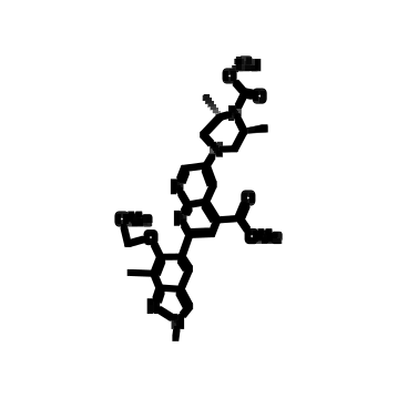 COCOc1c(-c2cc(C(=O)OC)c3cc(N4C[C@H](C)N(C(=O)OC(C)(C)C)[C@@H](C)C4)cnc3n2)cc2cn(C)nc2c1C